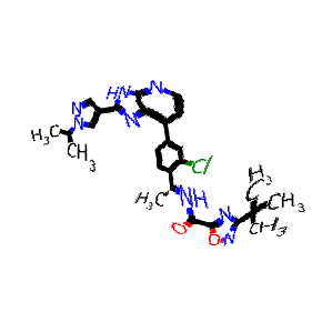 CC(C)n1cc(-c2nc3c(-c4ccc([C@@H](C)NC(=O)c5nc(C(C)(C)C)no5)c(Cl)c4)ccnc3[nH]2)cn1